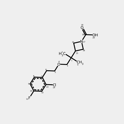 CC(C)(COCCc1ccc(F)cc1Cl)C1CN(C(=O)O)C1